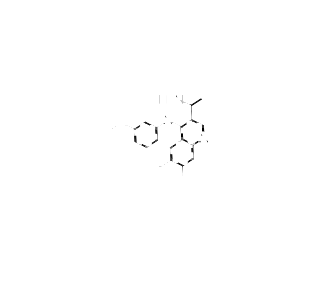 C=C(N)c1cnc2cc(Cl)c(I)cc2c1Nc1cccc(OC)c1